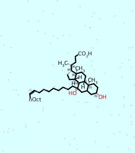 CCCCCCCC/C=C\CCCCCCCC[C@]1(O)CC2C[C@@H](O)CC[C@]2(C)[C@H]2CC[C@]3(C)[C@@H]([C@H](C)CCC(=O)O)CC[C@H]3[C@@H]21